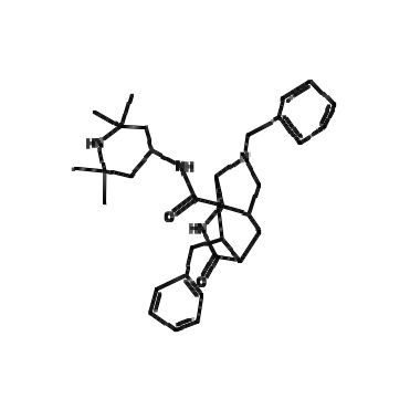 CC1(C)CC(NC(=O)C23NC(=O)C4CC2CN(Cc2ccccc2)C3C4Cc2ccccc2)CC(C)(C)N1